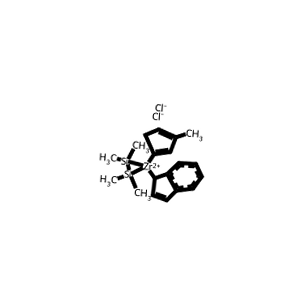 CC1=CC[C]([Zr+2]2([CH]3C=Cc4ccccc43)[Si](C)(C)[Si]2(C)C)=C1.[Cl-].[Cl-]